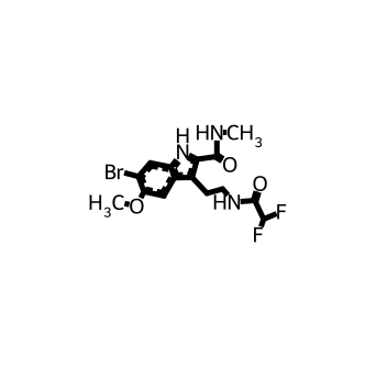 CNC(=O)c1[nH]c2cc(Br)c(OC)cc2c1CCNC(=O)C(F)F